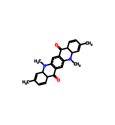 CC1=CC2C(C=C1)C(=O)c1cc3c(cc1N2C)C(=O)C1C=CC(C)=CC1N3C